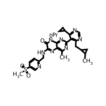 CCCn1c(=O)c(NCc2ccc(S(C)(=O)=O)cn2)nc2c(C)nc(-c3c(CC4CC4C)ncnc3C3CC3)nc21